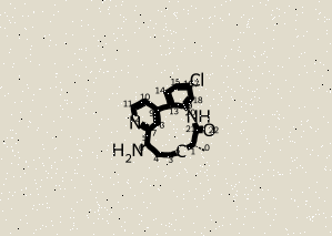 C[C@@H]1CCC[C@H](N)c2cc(ccn2)-c2ccc(Cl)cc2NC1=O